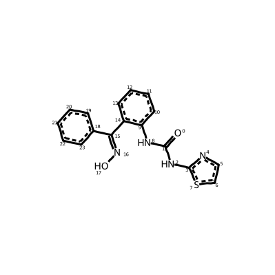 O=C(Nc1nccs1)Nc1ccccc1C(=NO)c1ccccc1